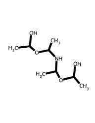 CC(O)OC(C)NC(C)OC(C)O